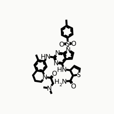 Cc1ccc(S(=O)(=O)n2ccc3c(NC4C=CSC4C(N)=O)nc(Nc4cc5c(cc4C)CCCN5C(=O)CN(C)C)nc32)cc1